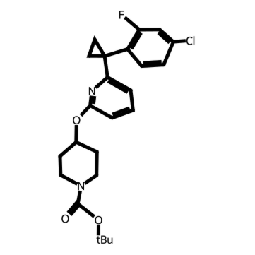 CC(C)(C)OC(=O)N1CCC(Oc2cccc(C3(c4ccc(Cl)cc4F)CC3)n2)CC1